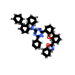 c1ccc(-c2nc(-c3cccc4c3oc3c(-c5nc6ccccc6o5)cccc34)nc(-n3c4ccccc4c4c(-c5ccccc5)cccc43)n2)cc1